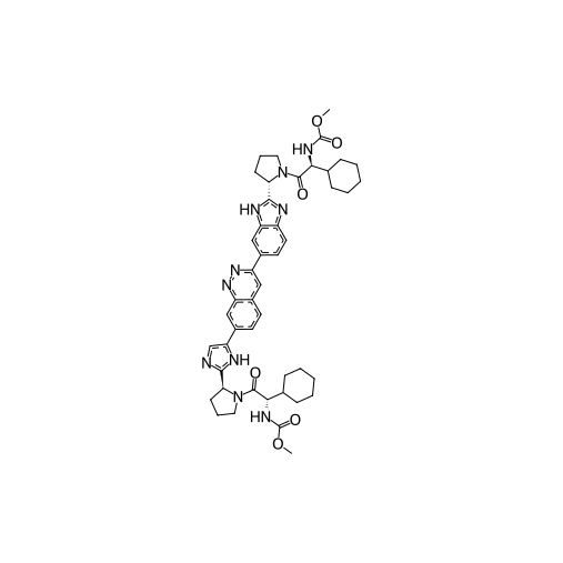 COC(=O)N[C@H](C(=O)N1CCC[C@H]1c1ncc(-c2ccc3cc(-c4ccc5nc([C@@H]6CCCN6C(=O)[C@@H](NC(=O)OC)C6CCCCC6)[nH]c5c4)nnc3c2)[nH]1)C1CCCCC1